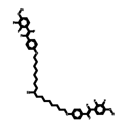 CCOc1ccc(/C(F)=C(\F)c2ccc(OCCCCCCCCC(CC)CCCCCCCCOc3ccc(/C(F)=C(\F)c4ccc(OCC)c(F)c4F)cc3)cc2)c(F)c1F